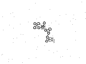 CC1(C)c2ccccc2-c2ccc(-c3ccc4c5ccccc5c5cc(-c6nc(-c7ccccc7)nc(-c7ccc8c(c7)C(c7ccccc7)(c7ccccc7)c7ccccc7-8)n6)ccc5c4c3)cc21